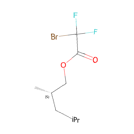 CC(C)C[C@H](C)COC(=O)C(F)(F)Br